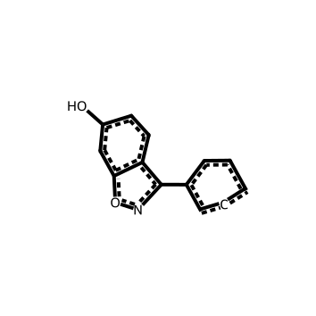 Oc1ccc2c(-c3ccccc3)noc2c1